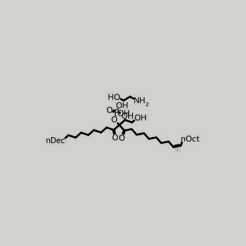 CCCCCCCC/C=C\CCCCCCCC(=O)C(OP(=O)(O)O)(C(=O)CCCCCCCCCCCCCCCCC)C(O)CO.NCCO